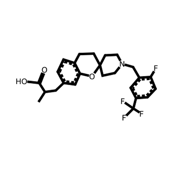 CC(Cc1ccc2c(c1)OC1(CC2)CCN(Cc2cc(C(F)(F)F)ccc2F)CC1)C(=O)O